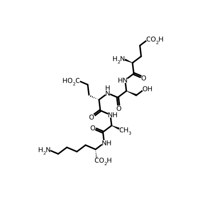 C[C@H](NC(=O)[C@H](CCC(=O)O)NC(=O)[C@H](CO)NC(=O)[C@@H](N)CCC(=O)O)C(=O)N[C@@H](CCCCN)C(=O)O